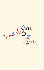 COC1CN(CCOc2ccc(NC(=O)CC(C)C)cc2-c2c(Br)cnn2C)C1